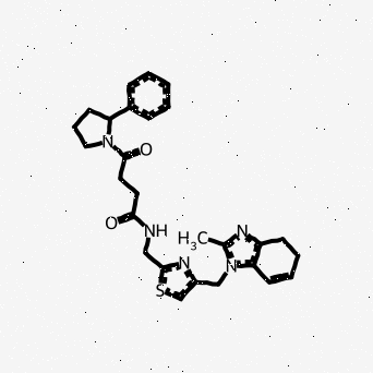 Cc1nc2c(n1Cc1csc(CNC(=O)CCC(=O)N3CCCC3c3ccccc3)n1)C=CCC2